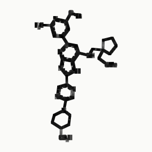 CCOc1cc(-c2cc(NCC3(COC)CCCC3)c3[nH]c(-c4cnc(N5CCC(C(=O)O)CC5)cn4)nc3n2)cc(C(F)(F)F)n1